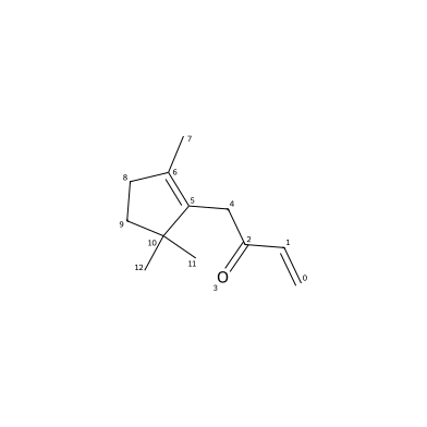 C=CC(=O)CC1=C(C)CCC1(C)C